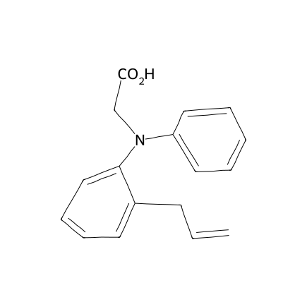 C=CCc1ccccc1N(CC(=O)O)c1ccccc1